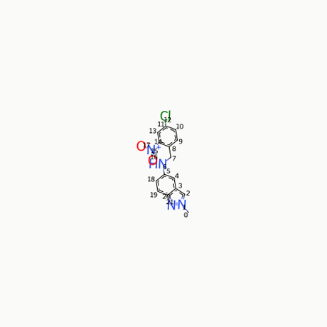 Cn1cc2cc(NCc3ccc(Cl)cc3[N+](=O)[O-])ccc2n1